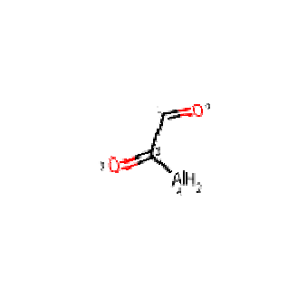 O=C[C](=O)[AlH2]